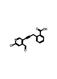 O=Cc1cc(Cl)ncc1C#CCc1ccccc1C(=O)O